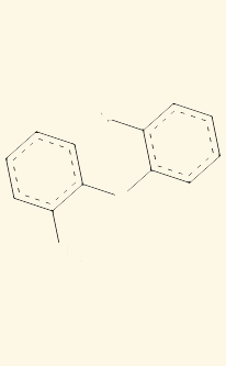 [CH2]c1ccccc1Sc1ccccc1N